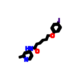 Cc1cc(NC(=O)CCCCCOc2ccc(I)cc2)ccn1